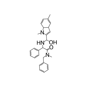 CC1=CC2C=C(C(O)NC(C(=O)N(C)Cc3ccccc3)c3ccccc3)N(C)C2C=C1